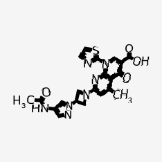 CC(=O)Nc1cnn(C2CN(c3cc(C)c4c(=O)c(C(=O)O)cn(-c5nccs5)c4n3)C2)c1